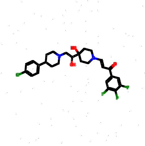 O=C(C=CN1CCC(O)(C(O)CN2CCC(c3ccc(Cl)cc3)CC2)CC1)c1cc(F)c(F)c(F)c1